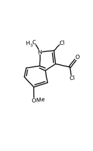 COc1ccc2c(c1)c(C(=O)Cl)c(Cl)n2C